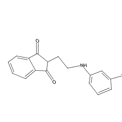 O=C1c2ccccc2C(=O)C1CCNc1cccc(Br)c1